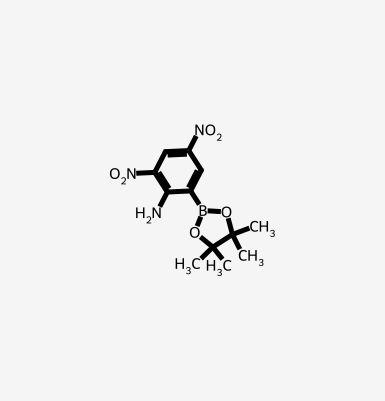 CC1(C)OB(c2cc([N+](=O)[O-])cc([N+](=O)[O-])c2N)OC1(C)C